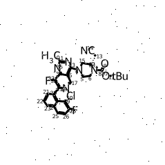 Cc1nc(N2CCN(C(=O)OC(C)(C)C)[C@@H](CC#N)C2)c2cnc(-c3cccc4ccc(F)c(Cl)c34)c(F)c2n1